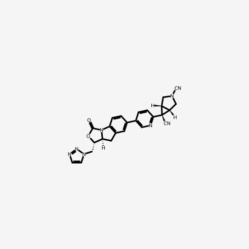 N#CN1C[C@@H]2[C@H](C1)[C@]2(C#N)c1ccc(-c2ccc3c(c2)C[C@H]2[C@H](Cn4ccnn4)OC(=O)N32)cn1